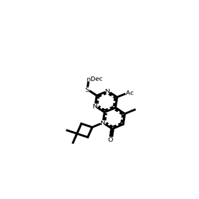 CCCCCCCCCCSc1nc(C(C)=O)c2c(C)cc(=O)n(C3CC(C)(C)C3)c2n1